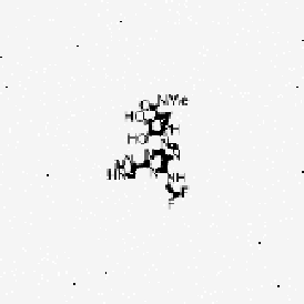 CNC(=O)[C@@]12C[C@@H]1[C@@H](n1cnc3c(NCC(F)F)nc(-c4c[nH]nn4)nc31)[C@H](O)[C@@H]2O